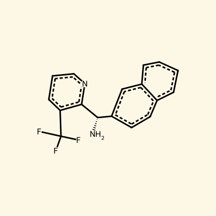 N[C@@H](c1ccc2ccccc2c1)c1ncccc1C(F)(F)F